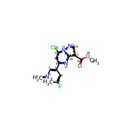 C=N/C=C(\C=C(/C)F)c1cc(Cl)n2ncc(C(=O)OC)c2n1